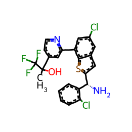 CC(O)(c1ccnc(-c2cc(Cl)cc3cc([C@H](N)c4ccccc4Cl)sc23)c1)C(F)(F)F